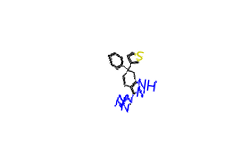 C1=CC(c2ccccc2)(c2ccsc2)Cc2[nH]nc(-n3cnnn3)c21